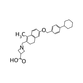 CC1=C(CN2CC(C(=O)O)C2)CCc2cc(OCc3ccc(C4CCCCC4)cc3)ccc21